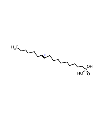 CCCCCC/C=C/CCCCCCCCCP(=O)(O)O